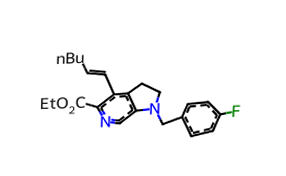 CCCC/C=C/c1c(C(=O)OCC)ncc2c1CCN2Cc1ccc(F)cc1